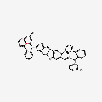 CC(C)c1cccc(N(c2ccc3cc4c(cc3c2)oc2cc3cc(N(c5cccc(C(C)C)c5)c5ccccc5-c5ccccc5)ccc3cc24)c2ccccc2-c2ccccc2)c1